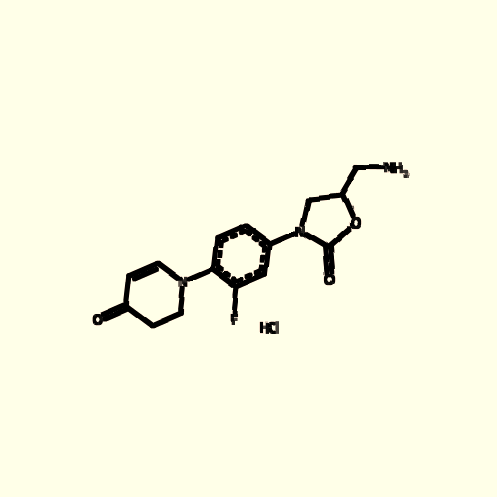 Cl.NCC1CN(c2ccc(N3C=CC(=O)CC3)c(F)c2)C(=O)O1